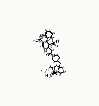 CCN(CC1(CN2CCN(C(=O)CC3=C(C(=O)O)C(c4c(Cl)cccc4Cl)C(C(=O)O)=CN3)CC2)CCCC1)C(C)=O